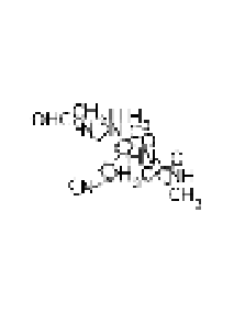 C=C(C=O)CN1CCC(Nc2cc(-c3ccc(CN4CCCCC4)cc3)cc(C(=O)NCc3c(C)cc(C)[nH]c3=O)c2C)CC1